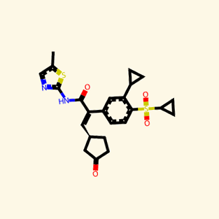 Cc1cnc(NC(=O)/C(=C/[C@H]2CCC(=O)C2)c2ccc(S(=O)(=O)C3CC3)c(C3CC3)c2)s1